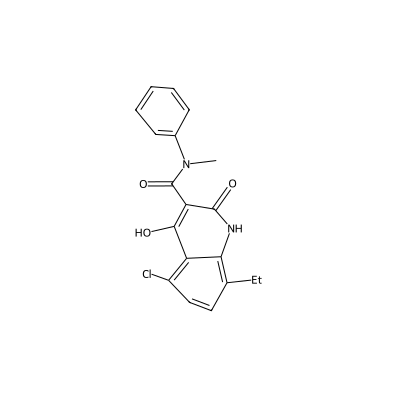 CCc1ccc(Cl)c2c(O)c(C(=O)N(C)c3ccccc3)c(=O)[nH]c12